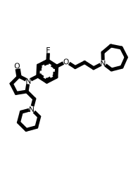 O=C1CCC(CN2CCCCC2)N1c1ccc(OCCCN2CCCCCC2)c(F)c1